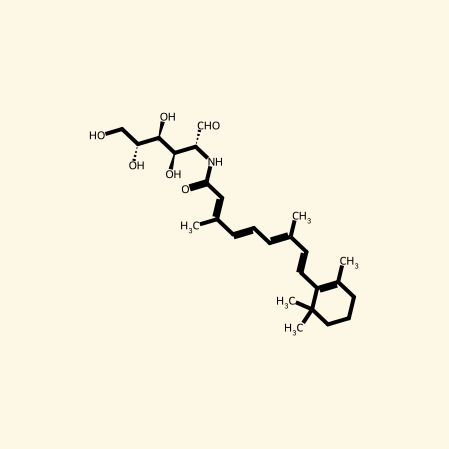 CC(C=CC1=C(C)CCCC1(C)C)=CC=CC(C)=CC(=O)N[C@@H](C=O)[C@@H](O)[C@H](O)[C@H](O)CO